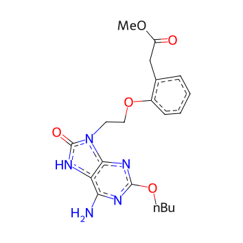 CCCCOc1nc(N)c2[nH]c(=O)n(CCOc3ccccc3CC(=O)OC)c2n1